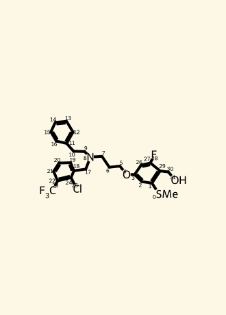 CSc1cc(OCCCN(CCc2ccccc2)Cc2cccc(C(F)(F)F)c2Cl)cc(F)c1CO